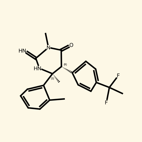 Cc1ccccc1[C@@]1(C)NC(=N)N(C)C(=O)[C@@H]1c1ccc(C(C)(F)F)cc1